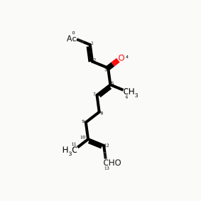 CC(=O)C=CC(=O)C(C)=CCCC(C)=CC=O